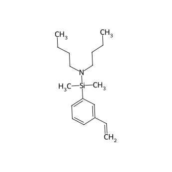 C=Cc1cccc([Si](C)(C)N(CCCC)CCCC)c1